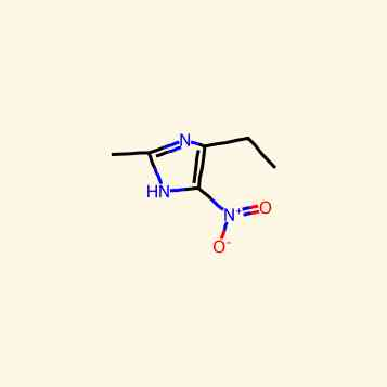 CCc1nc(C)[nH]c1[N+](=O)[O-]